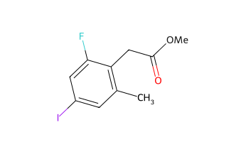 COC(=O)Cc1c(C)cc(I)cc1F